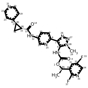 C[C@@H](OC(=O)Nc1c(-c2ccc(NC(=O)[C@@H]3C[C@H]3c3ccncc3)cn2)nnn1C)c1cc(F)cnc1F